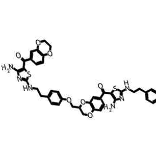 Nc1nc(NCCc2ccc(OCC3COc4ccc(C(=O)c5sc(NCCc6ccccc6)nc5N)cc4O3)cc2)sc1C(=O)c1ccc2c(c1)OCCO2